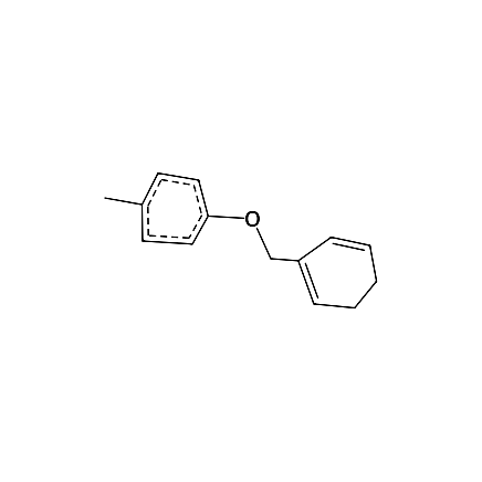 Cc1ccc(OCC2=CCCC=C2)cc1